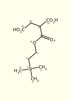 C[Si](C)(C)CCOC(=O)C(CC(=O)O)C(=O)O